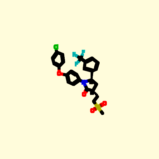 CS(=O)(=O)CC[C@H]1C[C@H](c2cccc(C(F)(F)F)c2)N(c2ccc(Oc3ccc(Cl)cc3)cc2)C1=O